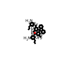 CCCc1cc(N)ccc1Oc1c(C(F)(F)F)cc(C2(c3cc(C(F)(F)F)c(Oc4ccc(N)cc4CCC)c(C(F)(F)F)c3)c3ccccc3-c3ccccc32)cc1C(F)(F)F